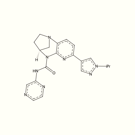 CC(C)n1cc(-c2ccc3c(n2)N(C(=O)Nc2cnccn2)[C@H]2CCN3C2)cn1